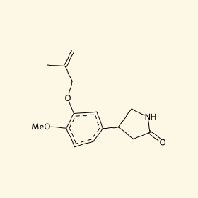 C=C(C)COc1cc(C2CNC(=O)C2)ccc1OC